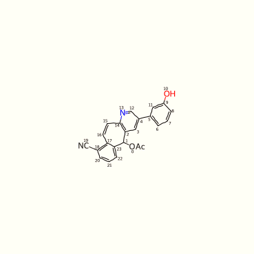 CC(=O)OC1c2cc(-c3cccc(O)c3)cnc2C=Cc2c(C#N)cccc21